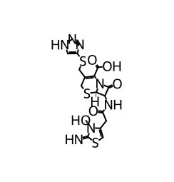 N=c1scc(CC(=O)NC2C(=O)N3C(C(=O)O)=C(CSc4c[nH]nn4)CS[C@H]23)n1O